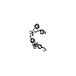 COCc1ccc(S(=O)(=O)N(C)c2ccc(OCC(=O)N(CCN3CCN(C)CC3)Cc3ccccc3)cc2)cc1